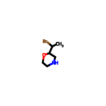 CC(Br)C1CNCCO1